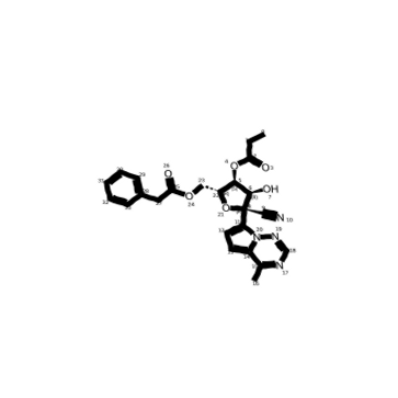 CCC(=O)O[C@H]1[C@@H](O)[C@](C#N)(c2ccc3c(C)ncnn23)O[C@@H]1COC(=O)Cc1ccccc1